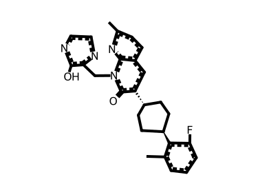 Cc1ccc2cc([C@H]3CC[C@H](c4c(C)cccc4F)CC3)c(=O)n(Cc3nccnc3O)c2n1